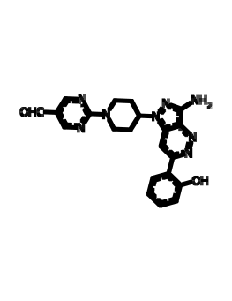 Nc1nn(C2CCN(c3ncc(C=O)cn3)CC2)c2cc(-c3ccccc3O)nnc12